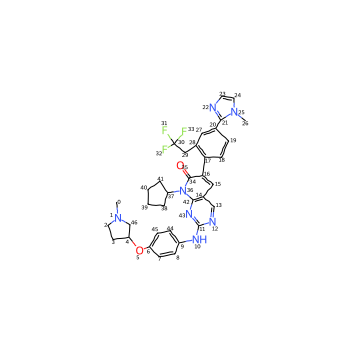 CN1CCC(Oc2ccc(Nc3ncc4cc(-c5ccc(-c6nccn6C)cc5CC(F)(F)F)c(=O)n(C5CCCC5)c4n3)cc2)C1